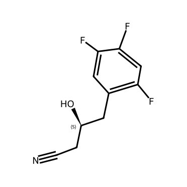 N#CC[C@@H](O)Cc1cc(F)c(F)cc1F